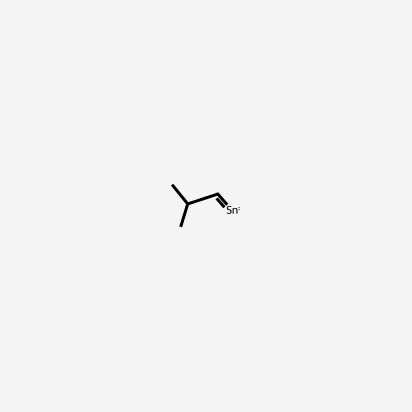 CC(C)[CH]=[Sn]